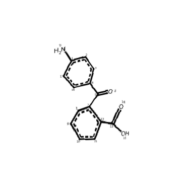 Nc1ccc(C(=O)c2ccccc2C(=O)O)cc1